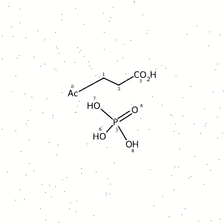 CC(=O)CCC(=O)O.O=P(O)(O)O